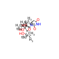 CC(C)(C)[Si](C)(C)C(O)[C@H]1O[C@@H](n2ccc(=O)[nH]c2=O)[C@@](O)([Si](C)(C)C(C)(C)C)[C@@]1(O)[Si](C)(C)C(C)(C)C